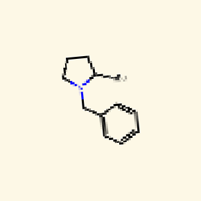 CCCCC1CCCN1Cc1ccccc1